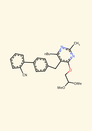 CCCCc1nc(C)nc(OCC(OC)OC)c1Cc1ccc(-c2ccccc2C#N)cc1